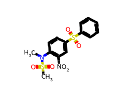 CN(c1ccc(S(=O)(=O)c2ccccc2)cc1[N+](=O)[O-])S(C)(=O)=O